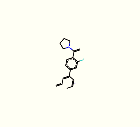 C=C/C=C(\C=C/C)c1ccc(C(=C)N2CCCC2)c(F)c1